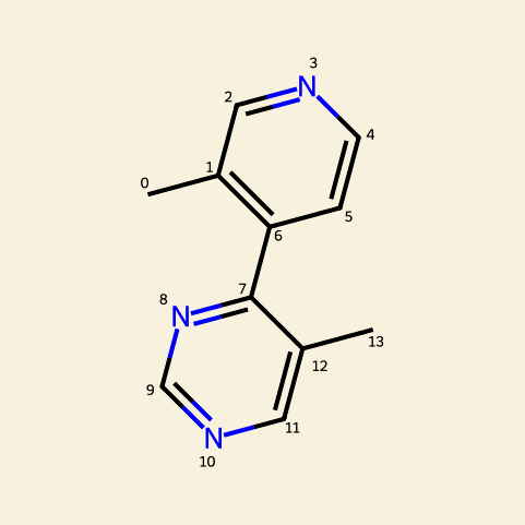 Cc1cnccc1-c1ncncc1C